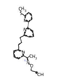 C#CCO/N=C(\C)c1cccc(CCCc2cccc(-c3cccc(SC)n3)n2)n1